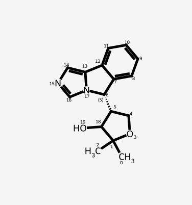 CC1(C)OCC([C@H]2c3ccccc3-c3cncn32)C1O